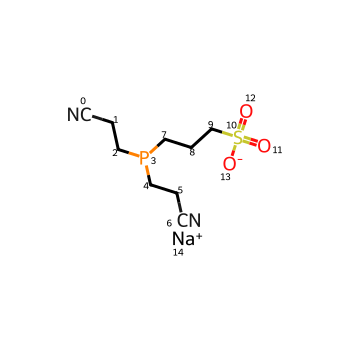 N#CCCP(CCC#N)CCCS(=O)(=O)[O-].[Na+]